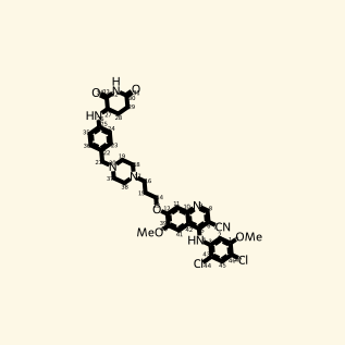 COc1cc(Nc2c(C#N)cnc3cc(OCCCN4CCN(Cc5ccc(NC6CCC(=O)NC6=O)cc5)CC4)c(OC)cc23)c(Cl)cc1Cl